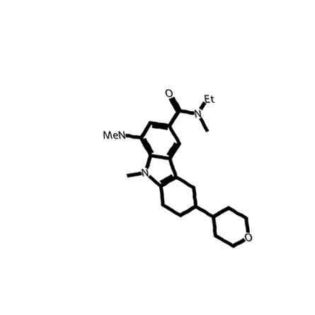 CCN(C)C(=O)c1cc(NC)c2c(c1)c1c(n2C)CCC(C2CCOCC2)C1